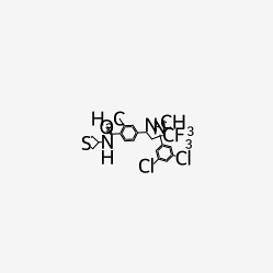 Cc1cc(C2=NN(C)C(c3cc(Cl)cc(Cl)c3)(C(F)(F)F)C2)ccc1C(=O)NC1CSC1